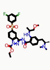 CCOC(=O)n1nc(NC(=O)c2ccc(C[C@@H](C)N(C)C)cc2NC(C)COC)c2cc(S(=O)(=O)c3cc(F)cc(F)c3)ccc21